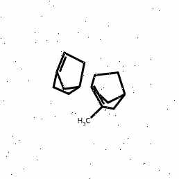 C1=C2CCC(C1)C2.CC1=C2CCC(C1)C2